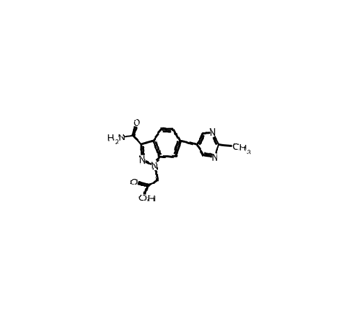 Cc1ncc(-c2ccc3c(C(N)=O)nn(CC(=O)O)c3c2)cn1